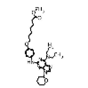 CCN(CC)c1nc(Nc2ccc(OCCCCCCC(=O)OC)cc2)nc2c1ncn2C1CCCCO1